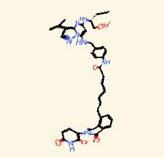 CC[C@H](CO)Nc1cc(NCc2ccc(NC(=O)CCCCCCc3cccc4c3CN(C3CCC(=O)NC3=O)C4=O)cc2)n2ncc(C(C)C)c2n1